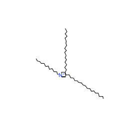 CCCCCCCCCCCCCCCCCCc1cc[n+](CCCCCCCCCCCC)cc1CCCCCCCCCCCCCCCCCC